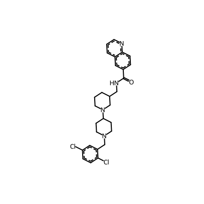 O=C(NCC1CCCN(C2CCN(Cc3cc(Cl)ccc3Cl)CC2)C1)c1ccc2ncccc2c1